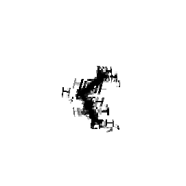 CCCCN(CCCC)c1ccc(C2=C(O)C(c3ccc(N(C)CCCCCN(C)c4ccc(C5=C(O)C(c6ccc(N(CCCC)CCCC)cc6)=C5O)cc4)cc3)=C2O)cc1